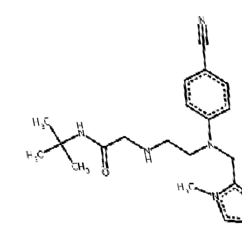 Cn1cncc1CN(CCNCC(=O)NC(C)(C)C)c1ccc(C#N)cc1